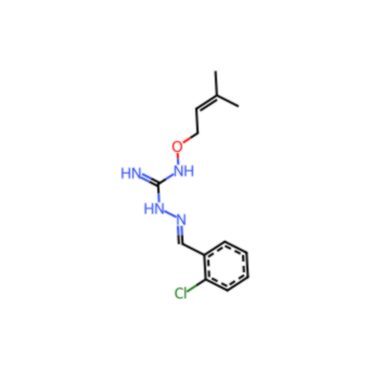 CC(C)=CCONC(=N)N/N=C/c1ccccc1Cl